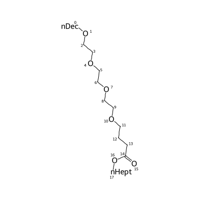 CCCCCCCCCCOCCOCCOCCOCCCC(=O)OCCCCCCC